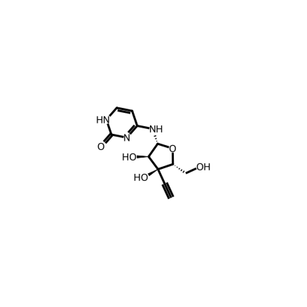 C#C[C@@]1(O)[C@@H](CO)O[C@@H](Nc2cc[nH]c(=O)n2)[C@@H]1O